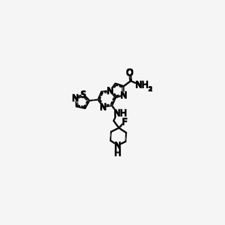 NC(=O)c1cn2cc(-c3ccns3)nc(NCC3(F)CCNCC3)c2n1